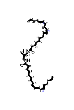 CCCCC/C=C\C/C=C\CCCCCCCC(=O)NCC(C)CNC(=O)CCCCCCC/C=C\C/C=C\CCCCC